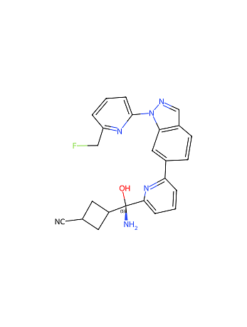 N#CC1CC([C@](N)(O)c2cccc(-c3ccc4cnn(-c5cccc(CF)n5)c4c3)n2)C1